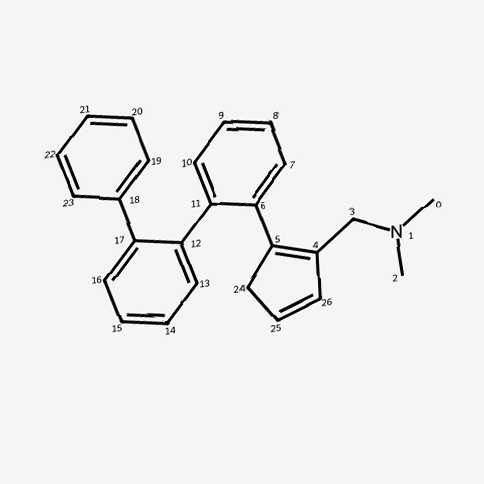 CN(C)CC1=C(c2ccccc2-c2ccccc2-c2ccccc2)CC=C1